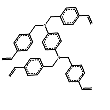 C=Cc1ccc(CN(Cc2ccc(C=C)cc2)c2ccc(N(Cc3ccc(C=C)cc3)Cc3ccc(C=C)cc3)cc2)cc1